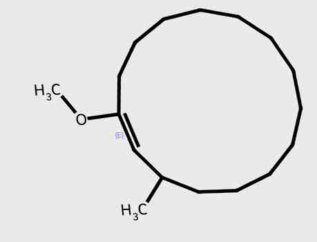 CO/C1=C/C(C)CCCCCCCCCCCC1